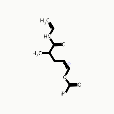 C=CNC(=O)C(C)C/C=C\OC(=O)C(C)C